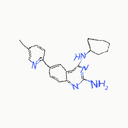 Cc1ccc(-c2ccc3nc(N)nc(NC4CCCCC4)c3c2)nc1